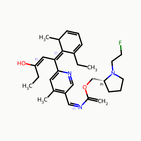 C=C(/N=C\c1cnc(C(/C=C(/O)CC)=C2\C(CC)=CC=CC2C)cc1C)OC[C@H]1CCCN1CCF